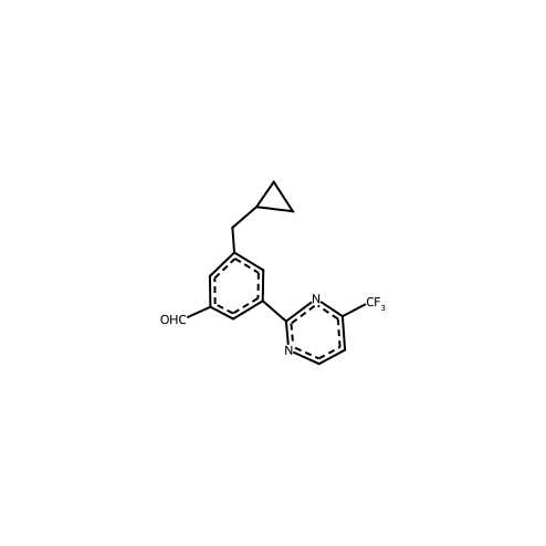 O=Cc1cc(CC2CC2)cc(-c2nccc(C(F)(F)F)n2)c1